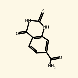 NC(=O)c1ccc2c(=O)[nH]c(=S)[nH]c2c1